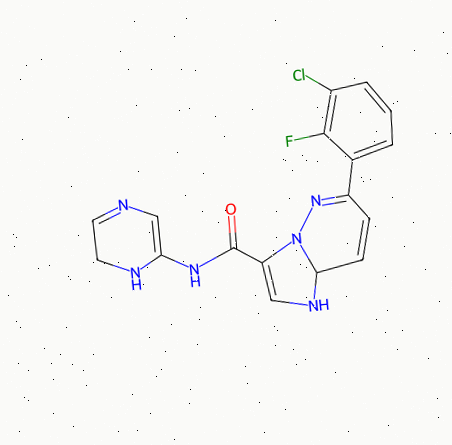 O=C(NC1=CN=CCN1)C1=CNC2C=CC(c3cccc(Cl)c3F)=NN12